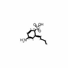 CCCC=C1C=C(N)C=CC1S(=O)(=O)O